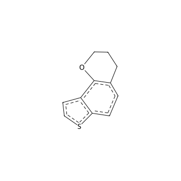 c1cc2c3c(ccc2s1)CCCO3